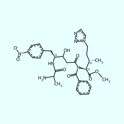 COC(=O)[C@H]([C@@H](C)CCn1ccnn1)N(C(=O)CC(O)[C@H](Cc1ccc([N+](=O)[O-])cc1)NC(=O)C(C)N)C(=O)c1ccccc1